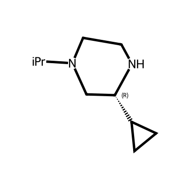 CC(C)N1CCN[C@H](C2CC2)C1